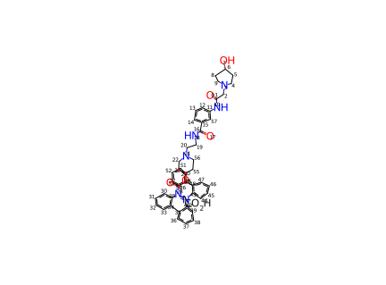 O=C(CN1CCC(O)CC1)Nc1cccc(C(=O)NCCN2CCC(OC(=O)N(c3ccccc3-c3ccccc3)N(C(=O)O)c3ccccc3-c3ccccc3)CC2)c1